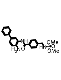 COP(=O)(NCc1ccc(C(=O)Nc2cc(-c3ccccc3)ccc2N)cc1)OC